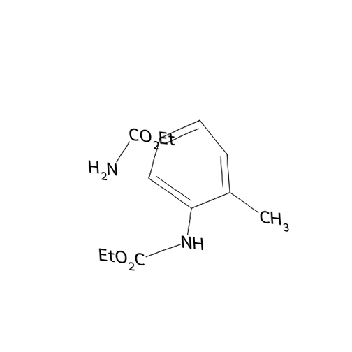 CCOC(=O)Nc1ccccc1C.CCOC(N)=O